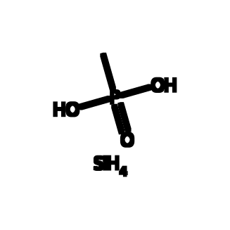 CP(=O)(O)O.[SiH4]